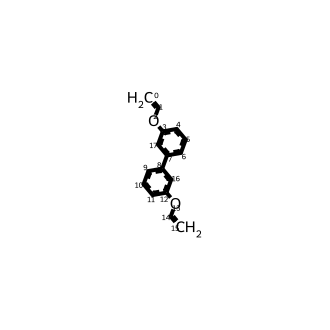 C=COc1cccc(-c2cccc(OC=C)c2)c1